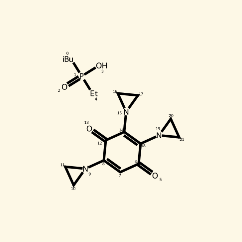 CCC(C)P(=O)(O)CC.O=C1C=C(N2CC2)C(=O)C(N2CC2)=C1N1CC1